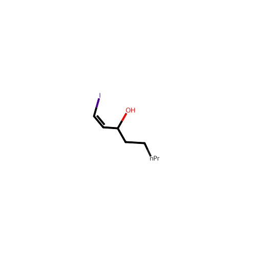 CCCCCC(O)/C=C\I